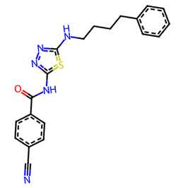 N#Cc1ccc(C(=O)Nc2nnc(NCCCCc3ccccc3)s2)cc1